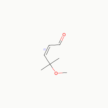 COC(C)(C)/C=C\C=O